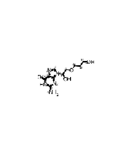 Nc1nc2c(ncn2C(O)COCCCO)c(=O)[nH]1